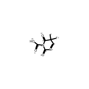 CC1(F)C=NC(=O)N(C(=O)O)C1=O